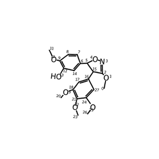 COC1=NOC(c2ccc(OC)c(O)c2)C1c1cc(OC)c(OC)c(OC)c1